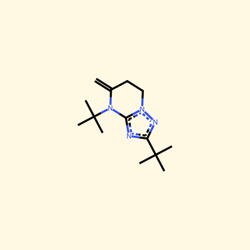 C=C1CCn2nc(C(C)(C)C)nc2N1C(C)(C)C